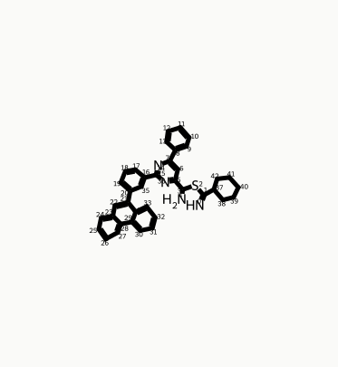 N=C(SC(N)c1cc(-c2ccccc2)nc(-c2cccc(-c3cc4ccccc4c4ccccc34)c2)n1)C1CCCCC1